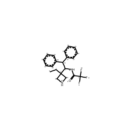 CCC1(C(NC(=O)C(F)(F)F)C(c2ccccc2)c2ccccc2)CNC1